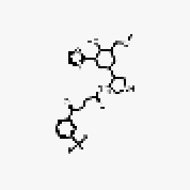 COCC1CC(C2CNC[C@@H]2NC(=O)CCC(=O)c2cccc(C(F)(F)F)c2)CC(c2nccs2)C1O